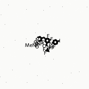 CNS(=O)(=O)Nc1nccc(Cc2cc(C(=O)N[C@@H]3CC3(F)F)c(Nc3ccc(I)cc3F)c(F)c2F)c1F